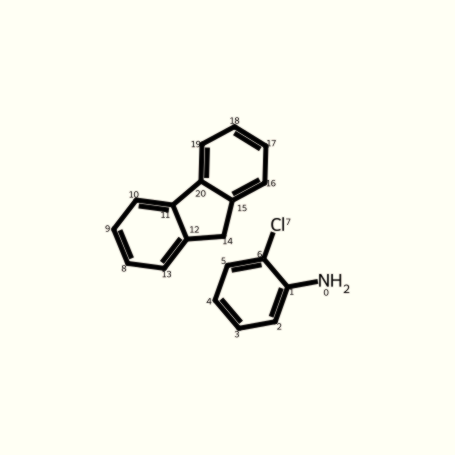 Nc1ccccc1Cl.c1ccc2c(c1)Cc1ccccc1-2